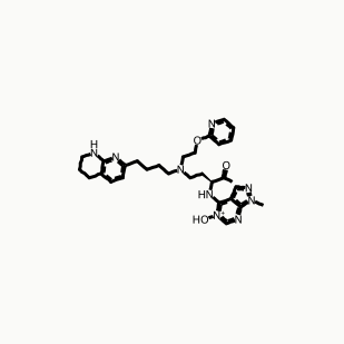 CC(=O)[C@H](CCN(CCCCc1ccc2c(n1)NCCC2)CCOc1ccccn1)Nc1c2cnn(C)c2nc[n+]1O